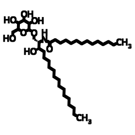 CCCCCCCCCCCCCCC[C@@H](O)[C@H](COC1OC(CO)C(O)C(O)C1O)NC(=O)CCCCCCCCCCCCC